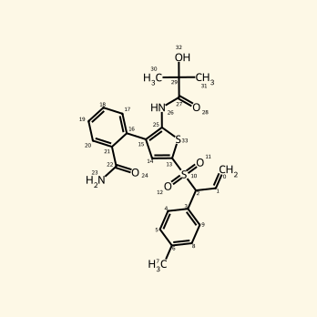 C=CC(c1ccc(C)cc1)S(=O)(=O)c1cc(-c2ccccc2C(N)=O)c(NC(=O)C(C)(C)O)s1